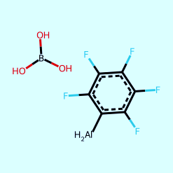 Fc1c(F)c(F)[c]([AlH2])c(F)c1F.OB(O)O